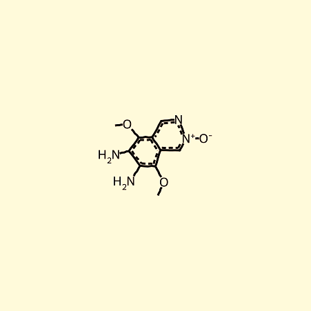 COc1c(N)c(N)c(OC)c2c[n+]([O-])ncc12